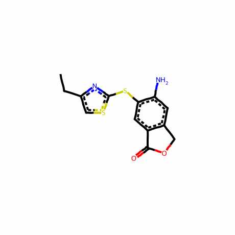 CCc1csc(Sc2cc3c(cc2N)COC3=O)n1